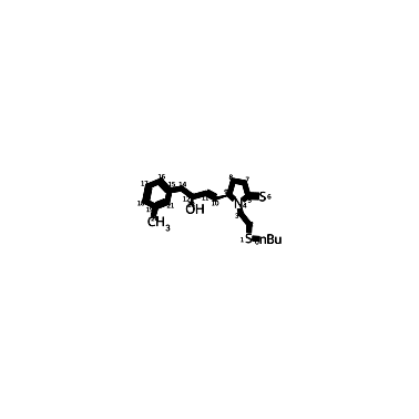 CCCCSCCN1C(=S)CC[C@@H]1/C=C/[C@@H](O)Cc1cccc(C)c1